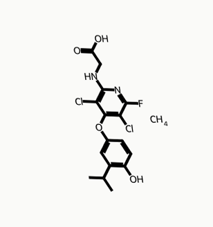 C.CC(C)c1cc(Oc2c(Cl)c(F)nc(NCC(=O)O)c2Cl)ccc1O